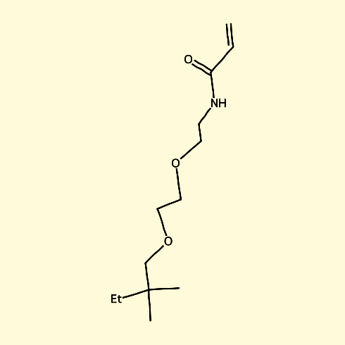 C=CC(=O)NCCOCCOCC(C)(C)CC